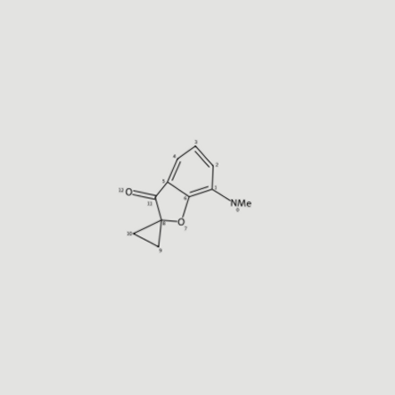 CNc1cccc2c1OC1(CC1)C2=O